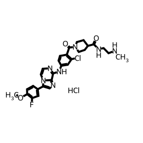 CNCCNC(=O)C1CCN(C(=O)c2ccc(Nc3nccn4c(-c5ccc(OC)c(F)c5)cnc34)cc2Cl)CC1.Cl